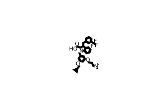 CN(C)CCCOc1cc(CN2c3ccccc3C(Cc3cccc(C(F)(F)F)c3)C2C(=O)O)cc(OCC2CC2)c1